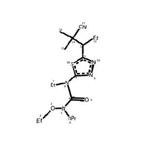 CCCN(OCC)C(=O)N(CC)c1nnc(C(CC)C(C)(C)C#N)s1